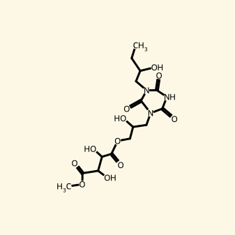 CCC(O)Cn1c(=O)[nH]c(=O)n(CC(O)COC(=O)C(O)C(O)C(=O)OC)c1=O